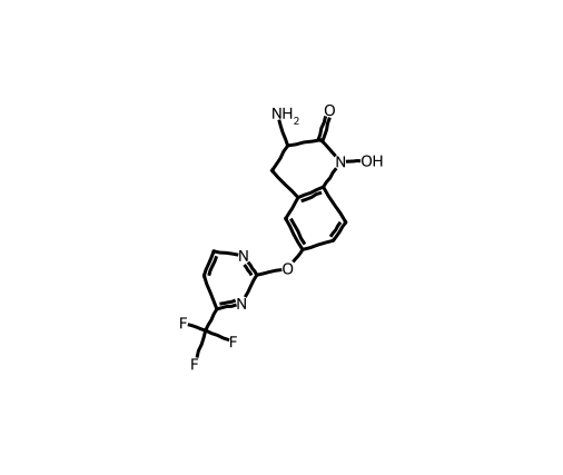 NC1Cc2cc(Oc3nccc(C(F)(F)F)n3)ccc2N(O)C1=O